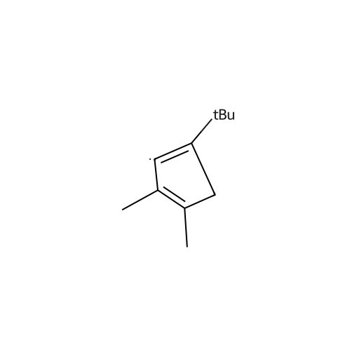 CC1=C(C)CC(C(C)(C)C)=[C]1